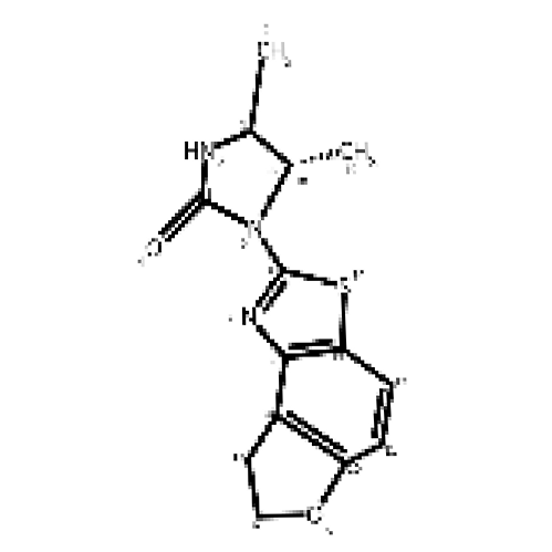 CC1NC(=O)N(c2nc3c4c(ccc3s2)OCC4)[C@H]1C